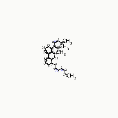 C=C/C=C\C=C/Cc1ccnc2c1ccc1c(C(/C=C\CC)=C(C)C)ccnc12